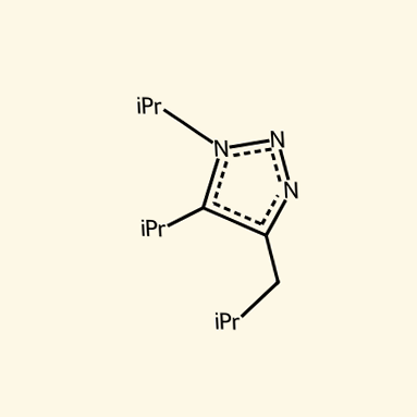 CC(C)Cc1nnn(C(C)C)c1C(C)C